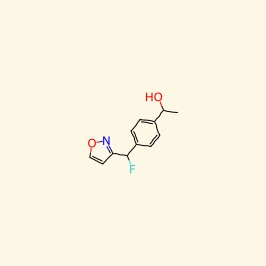 CC(O)c1ccc(C(F)c2ccon2)cc1